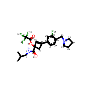 CC(C)CNC(=O)C1(OC(=O)C(F)(F)F)C=C(c2ccc(CN3CCCC3)c(F)c2)C1